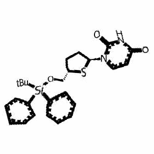 CC(C)(C)[Si](OC[C@@H]1CC[C@@H](n2ccc(=O)[nH]c2=O)S1)(c1ccccc1)c1ccccc1